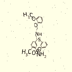 COc1ccccc1OCCNCC(Sc1ccccc1)c1ccc(C)c(S(N)(=O)=O)c1